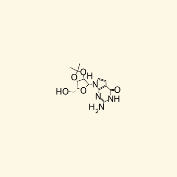 CC1(C)OC2[C@@H](O1)[C@H](n1ccc3c(=O)[nH]c(N)nc31)O[C@@H]2CO